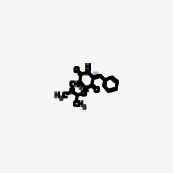 CC(ON1CC(=O)N/C(=C/c2ccccc2)C1=O)N(C)C